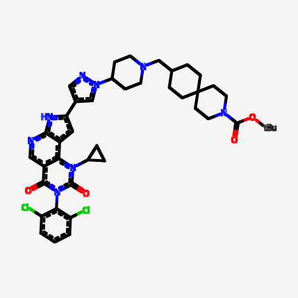 CC(C)(C)OC(=O)N1CCC2(CCC(CN3CCC(n4cc(-c5cc6c(ncc7c(=O)n(-c8c(Cl)cccc8Cl)c(=O)n(C8CC8)c76)[nH]5)cn4)CC3)CC2)CC1